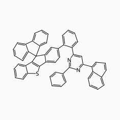 c1ccc(-c2nc(-c3ccccc3-c3ccc4c(c3)C3(c5ccccc5-c5ccccc53)c3c-4sc4ccccc34)cc(-c3cccc4ccccc34)n2)cc1